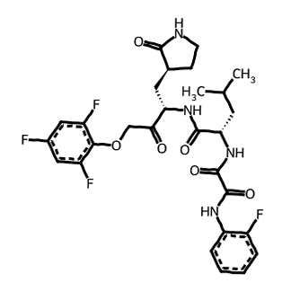 CC(C)C[C@H](NC(=O)C(=O)Nc1ccccc1F)C(=O)N[C@@H](C[C@@H]1CCNC1=O)C(=O)COc1c(F)cc(F)cc1F